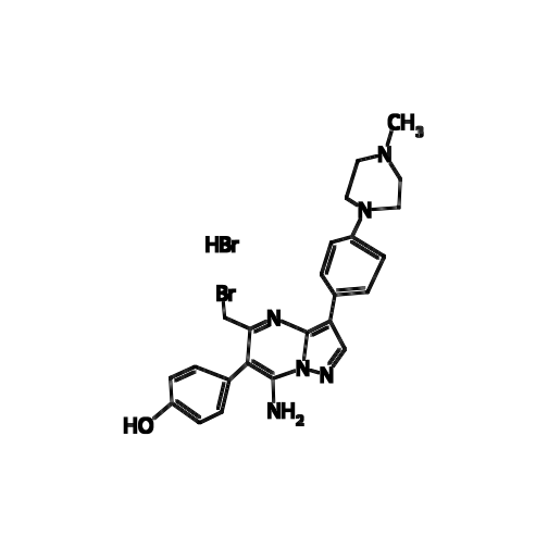 Br.CN1CCN(c2ccc(-c3cnn4c(N)c(-c5ccc(O)cc5)c(CBr)nc34)cc2)CC1